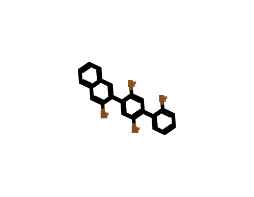 Brc1ccccc1-c1cc(Br)c(-c2cc3ccccc3cc2Br)cc1Br